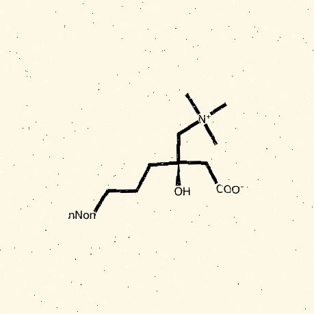 CCCCCCCCCCCC[C@@](O)(CC(=O)[O-])C[N+](C)(C)C